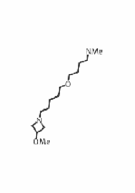 CNCCCCOCCCCCN1CC(OC)C1